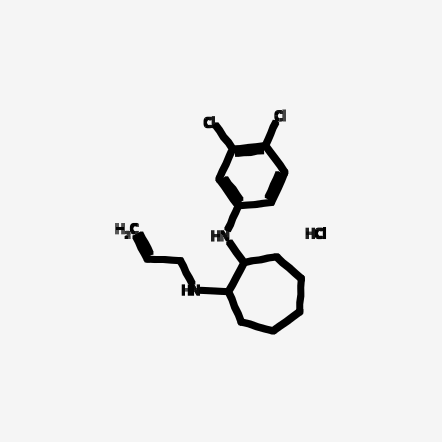 C=CCNC1CCCCCC1Nc1ccc(Cl)c(Cl)c1.Cl